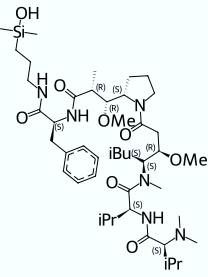 CC[C@H](C)[C@@H]([C@@H](CC(=O)N1CCC[C@H]1[C@H](OC)[C@@H](C)C(=O)N[C@@H](Cc1ccccc1)C(=O)NCCC[Si](C)(C)O)OC)N(C)C(=O)[C@@H](NC(=O)[C@H](C(C)C)N(C)C)C(C)C